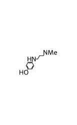 CNCCCNc1ccc(O)cc1